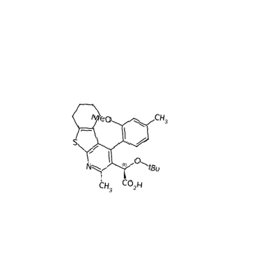 COc1cc(C)ccc1-c1c([C@@H](OC(C)(C)C)C(=O)O)c(C)nc2sc3c(c12)CCCC3